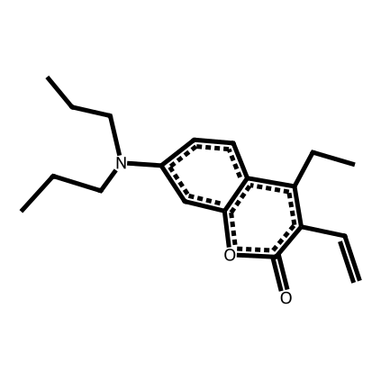 C=Cc1c(CC)c2ccc(N(CCC)CCC)cc2oc1=O